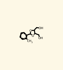 Cc1ccccc1C1OC(CO)C(CO)O1